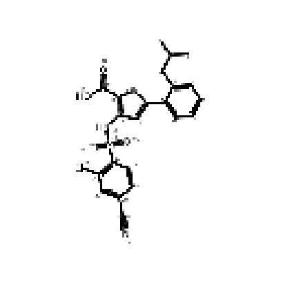 CC(C)Cc1ccccc1-c1cc(NS(=O)(=O)c2ccc(C#N)cc2Cl)c(C(=O)O)s1